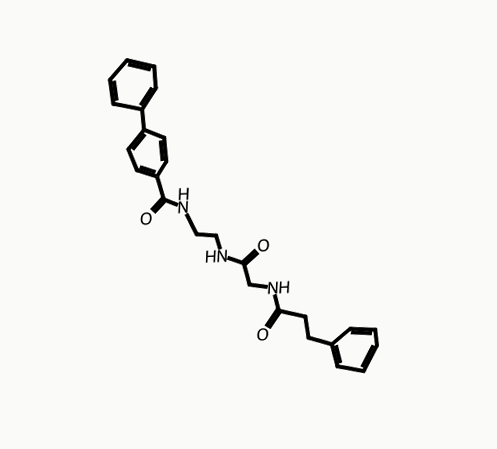 O=C(CCc1ccccc1)NCC(=O)NCCNC(=O)c1ccc(-c2ccccc2)cc1